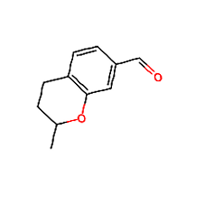 CC1CCc2ccc(C=O)cc2O1